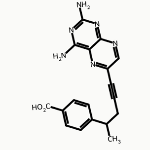 CC(CC#Cc1cnc2nc(N)nc(N)c2n1)c1ccc(C(=O)O)cc1